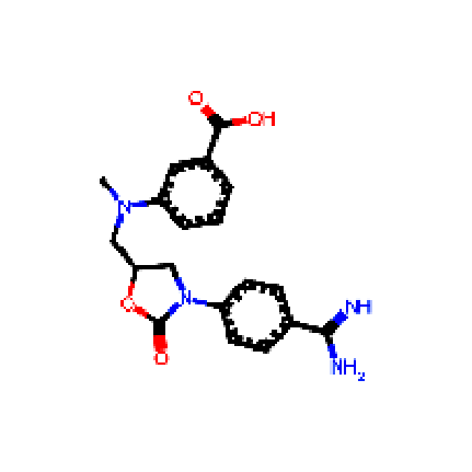 CN(CC1CN(c2ccc(C(=N)N)cc2)C(=O)O1)c1cccc(C(=O)O)c1